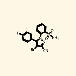 N#Cc1nn(-c2ccccc2S(N)(=O)=O)c(-c2ccc(F)cc2)c1Br